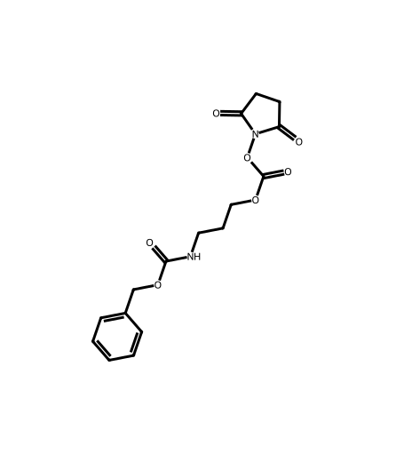 O=C(NCCCOC(=O)ON1C(=O)CCC1=O)OCc1ccccc1